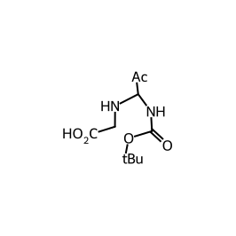 CC(=O)C(NCC(=O)O)NC(=O)OC(C)(C)C